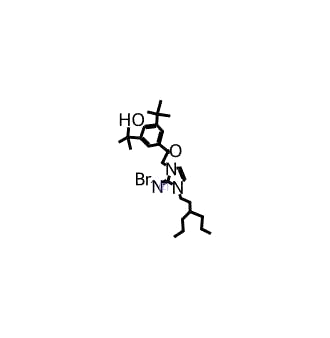 CCCC(CCC)CCn1ccn(CC(=O)c2cc(C(C)(C)C)c(O)c(C(C)(C)C)c2)/c1=N\Br